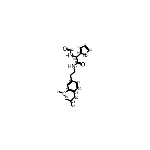 COc1cc(CCNC(=O)C(NC=O)c2cccs2)ccc1CC(C)C